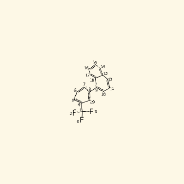 FC(F)(F)c1cc[c]c(-c2cccc3ccccc23)c1